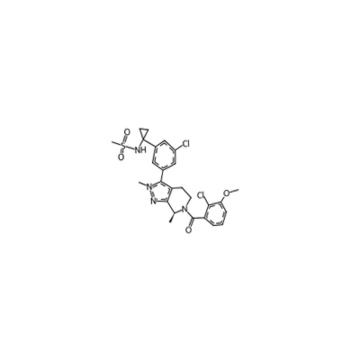 COc1cccc(C(=O)N2CCc3c(nn(C)c3-c3cc(Cl)cc(C4(NS(C)(=O)=O)CC4)c3)[C@@H]2C)c1Cl